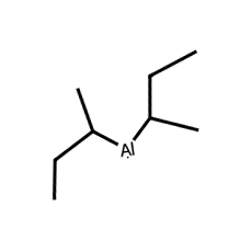 CC[CH](C)[Al][CH](C)CC